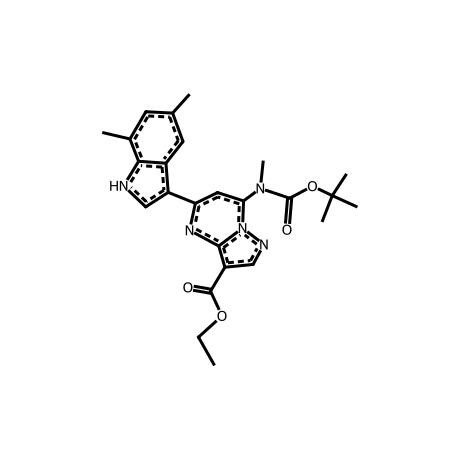 CCOC(=O)c1cnn2c(N(C)C(=O)OC(C)(C)C)cc(-c3c[nH]c4c(C)cc(C)cc34)nc12